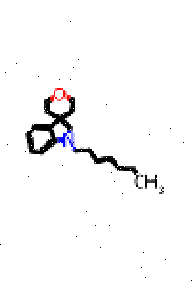 CCCCCCCN1CC2(CCOCC2)c2ccccc21